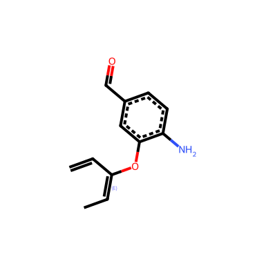 C=C/C(=C\C)Oc1cc(C=O)ccc1N